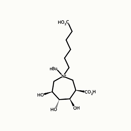 CCCC[N+]1(CCCCCC(=O)O)C[C@H](O)[C@@H](O)[C@H](O)[C@H](C(=O)O)C1